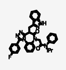 CC(C)N(C(=O)CN1C(=O)C(Cc2n[nH]c3ccccc23)c2nnc(-c3ccc(F)cc3)n2-c2ccccc21)c1ccccc1